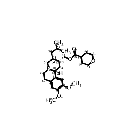 COc1cc2c(cc1OC)[C@H]1C[C@@H](COC(=O)C3CCOCC3)[C@H](CC(C)C)CN1CC2